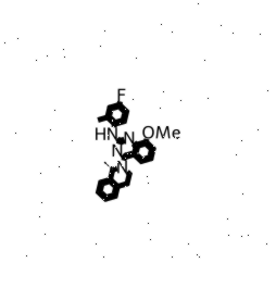 COc1cccc2c(N3CCc4ccccc4[C@@H]3C)nc(Nc3ccc(F)cc3C)nc12